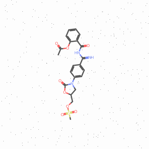 CC(=O)Oc1ccccc1C(=O)NC(=N)c1ccc(N2CC(COS(C)(=O)=O)OC2=O)cc1